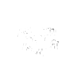 CC1(C)CC(OC(=O)CC(C(=O)OC2CC(C)(C)NC(C)(C)C2)C(CC(=O)OC2CC(C)(C)NC(C)(C)C2)C(=O)OC2CC(C)(C)NC(C)(C)C2)CC(C)(C)N1.N